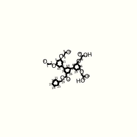 O=CCOc1cc(OCC=O)cc(-c2cc(C(=O)OCc3ccccc3)cc(-c3cc(OCC(=O)O)cc(OCC(=O)O)c3)c2)c1